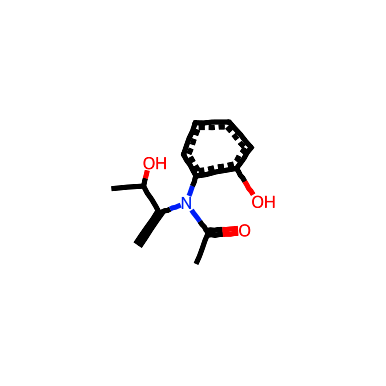 C=C(C(C)O)N(C(C)=O)c1ccccc1O